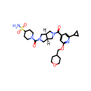 NS(=O)(=O)C1CCN(C(=O)N2C[C@H]3CN(C(=O)c4cc(OCC5CCOCC5)nc(C5CC5)c4)C[C@@H]3C2)CC1